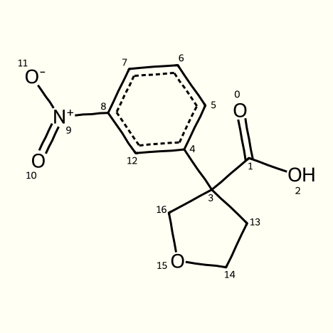 O=C(O)C1(c2cccc([N+](=O)[O-])c2)CCOC1